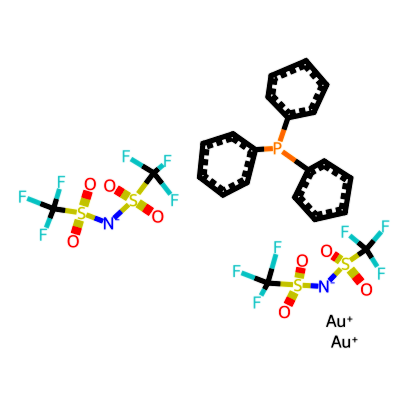 O=S(=O)([N-]S(=O)(=O)C(F)(F)F)C(F)(F)F.O=S(=O)([N-]S(=O)(=O)C(F)(F)F)C(F)(F)F.[Au+].[Au+].c1ccc(P(c2ccccc2)c2ccccc2)cc1